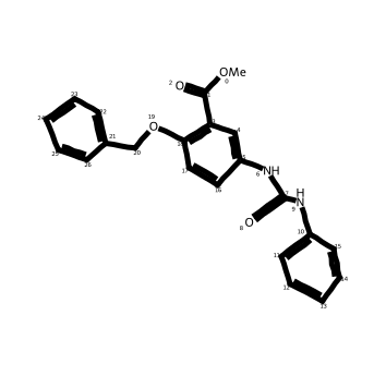 COC(=O)c1cc(NC(=O)Nc2ccccc2)ccc1OCc1ccccc1